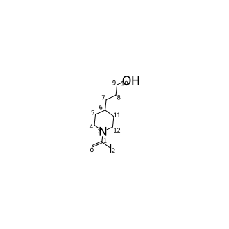 C=C(I)N1CCC(CCCO)CC1